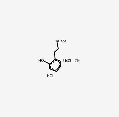 CCCCCCCCCc1ccccc1O.Cl.Cl.Cl.Cl